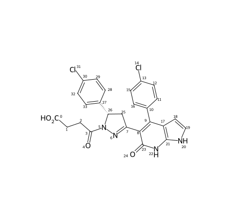 O=C(O)CCC(=O)N1N=C(c2c(-c3ccc(Cl)cc3)c3cc[nH]c3[nH]c2=O)C[C@H]1c1ccc(Cl)cc1